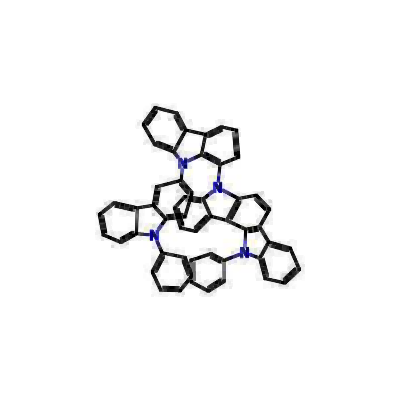 c1ccc(-n2c3ccccc3c3cc(-n4c5ccccc5c5cccc(-n6c7ccccc7c7c6ccc6c8ccccc8n(-c8ccccc8)c67)c54)ccc32)cc1